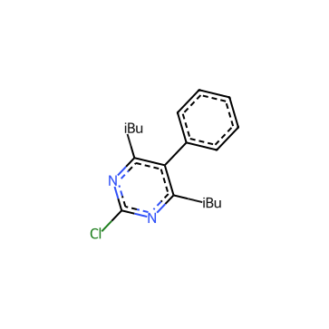 CCC(C)c1nc(Cl)nc(C(C)CC)c1-c1ccccc1